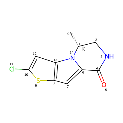 C[C@@H]1CNC(=O)c2cc3sc(Cl)cc3n21